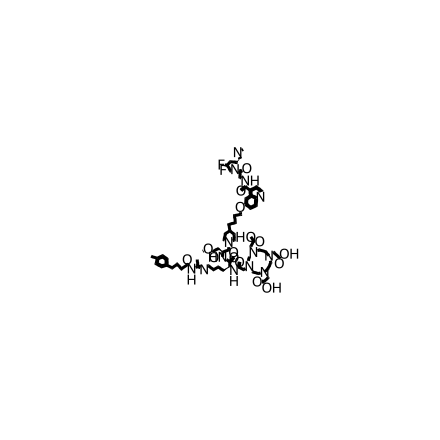 C/N=C/[C@H]1CC(F)(F)CN1C(=O)CNC(=O)c1ccnc2ccc(OCCCCC3CCN(C(=O)[C@H](CC(=O)OC)NC(=O)[C@H](CCCC/N=C(\C)NC(=O)CCCc4ccc(C)cc4)NC(=O)CN4CCN(CC(=O)O)CCN(CC(=O)O)CCN(CC(=O)O)CC4)CC3)cc12